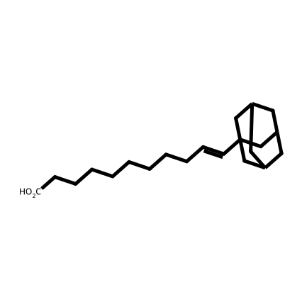 O=C(O)CCCCCCCCC=CC12CC3CC(CC(C3)C1)C2